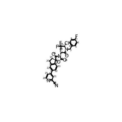 C[C@H](N(Cc1ccc(F)cc1)C(=O)CN1C(=O)O[C@@]2(CCc3cc(-c4ccnc(C#N)c4)ccc32)C1=O)C(F)(F)F